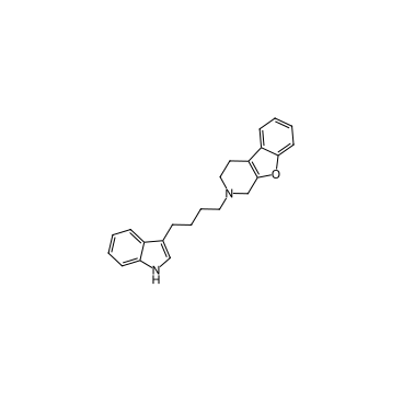 c1ccc2c(CCCCN3CCc4c(oc5ccccc45)C3)c[nH]c2c1